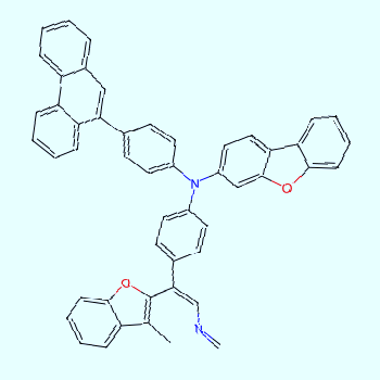 C=N/C=C(/c1ccc(N(c2ccc(-c3cc4ccccc4c4ccccc34)cc2)c2ccc3c(c2)oc2ccccc23)cc1)c1oc2ccccc2c1C